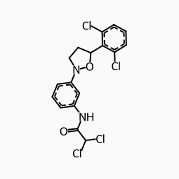 O=C(Nc1cccc(N2CCC(c3c(Cl)cccc3Cl)O2)c1)C(Cl)Cl